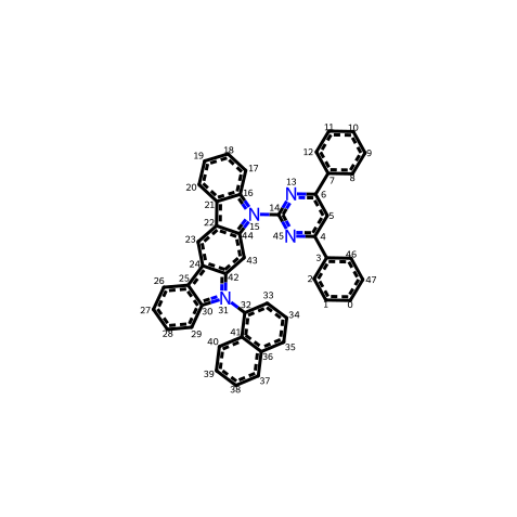 c1ccc(-c2cc(-c3ccccc3)nc(-n3c4ccccc4c4cc5c6ccccc6n(-c6cccc7ccccc67)c5cc43)n2)cc1